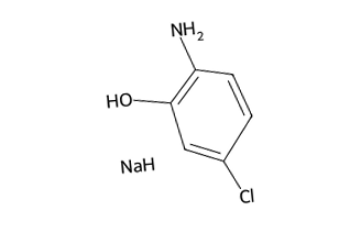 Nc1ccc(Cl)cc1O.[NaH]